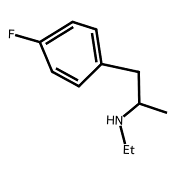 CCNC(C)Cc1ccc(F)cc1